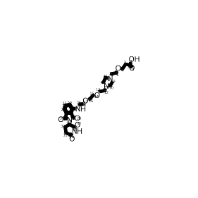 O=C(O)CCOCCN1CCN(CCOCCOCCNc2cccc3c2C(=O)N(C2CCC(=O)NC2=O)C3=O)CC1